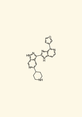 c1cc2[nH]c(-c3n[nH]c4cnc(C5CCNCC5)cc34)nc2c(-c2ccoc2)n1